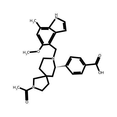 COc1cc(C)c2[nH]ccc2c1CN1CCC2(CCN(C(C)=O)C2)C[C@H]1c1ccc(C(=O)O)cc1